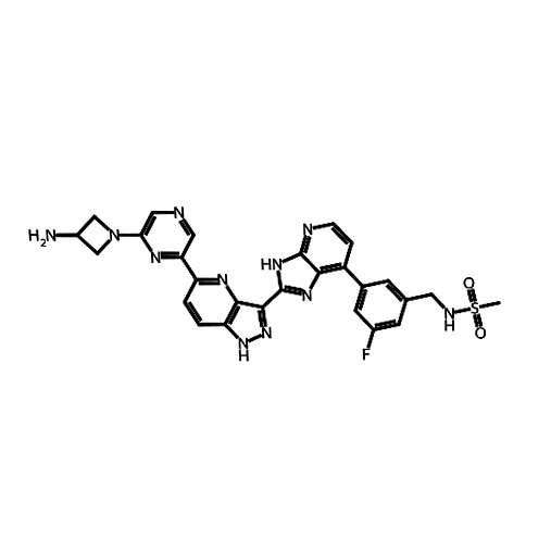 CS(=O)(=O)NCc1cc(F)cc(-c2ccnc3[nH]c(-c4n[nH]c5ccc(-c6cncc(N7CC(N)C7)n6)nc45)nc23)c1